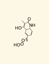 CC1=C(O)C2C=C(SOOO)C=CC2NC1=O